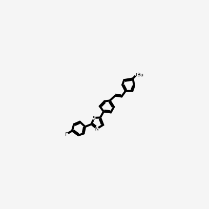 CC(C)(C)c1ccc(C=Cc2ccc(-c3cnc(-c4ccc(F)cc4)s3)cc2)cc1